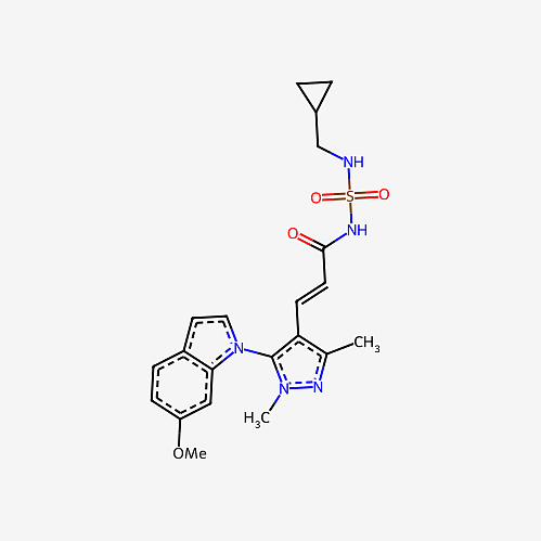 COc1ccc2ccn(-c3c(/C=C/C(=O)NS(=O)(=O)NCC4CC4)c(C)nn3C)c2c1